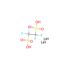 O=S(=O)(O)C(F)(F)C(F)(F)S(=O)(=O)O.[LiH].[LiH]